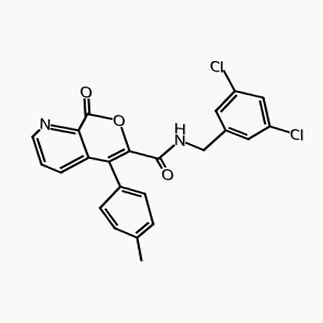 Cc1ccc(-c2c(C(=O)NCc3cc(Cl)cc(Cl)c3)oc(=O)c3ncccc23)cc1